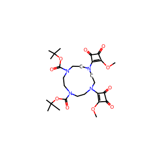 COc1c(N2CCN(C(=O)OC(C)(C)C)CCN(C(=O)OC(C)(C)C)CCN(c3c(OC)c(=O)c3=O)CC2)c(=O)c1=O